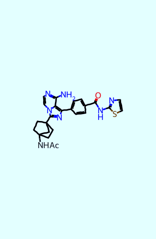 CC(=O)NC12CCC(c3nc(-c4ccc(C(=O)Nc5nccs5)cc4)c4c(N)nccn34)(CC1)C2